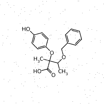 CC(OCc1ccccc1)C(C)(Oc1ccc(O)cc1)C(=O)O